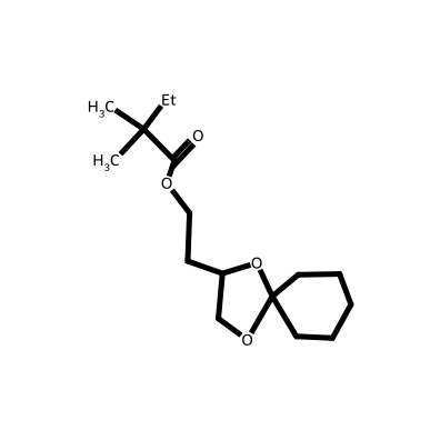 CCC(C)(C)C(=O)OCCC1COC2(CCCCC2)O1